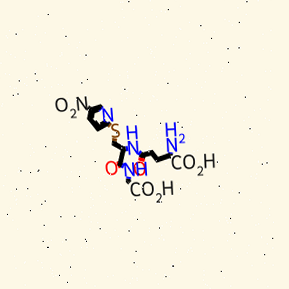 NC(CCC(=O)NC(CSc1ccc([N+](=O)[O-])cn1)C(=O)NCC(=O)O)C(=O)O